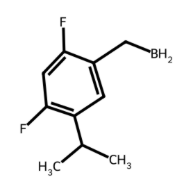 BCc1cc(C(C)C)c(F)cc1F